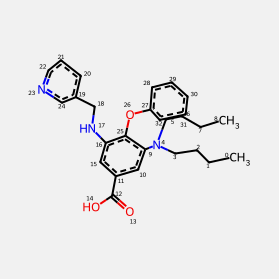 CCCCN(CCCC)c1cc(C(=O)O)cc(NCc2cccnc2)c1Oc1ccccc1